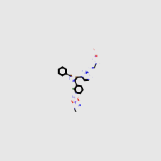 CCN(C)S(=O)(=O)Nc1cccc(-c2nc(-c3ccccc3)sc2-c2ccnc(NC[C@H](C)NC(=O)OC)n2)c1F